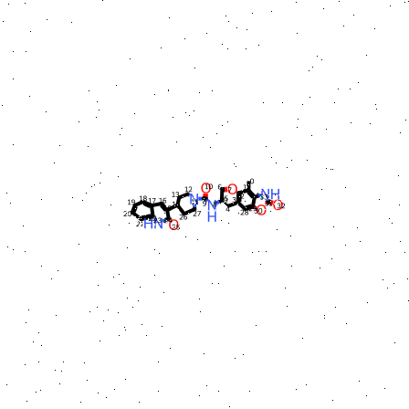 Cc1cc(C[C@H](C=O)NC(=O)N2CCC(c3cc4ccccc4[nH]c3=O)CC2)cc2oc(=O)[nH]c12